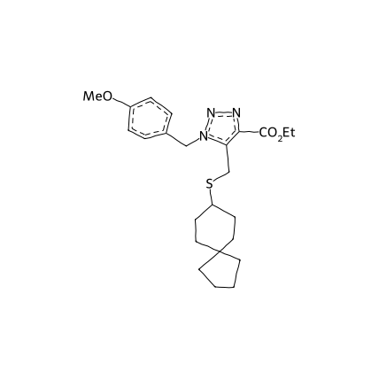 CCOC(=O)c1nnn(Cc2ccc(OC)cc2)c1CSC1CCC2(CCCC2)CC1